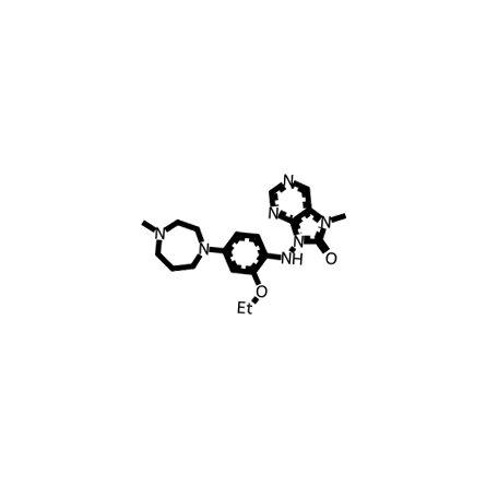 CCOc1cc(N2CCCN(C)CC2)ccc1Nn1c(=O)n(C)c2cncnc21